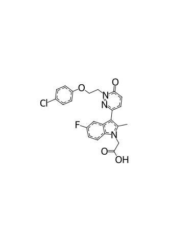 Cc1c(-c2ccc(=O)n(CCOc3ccc(Cl)cc3)n2)c2cc(F)ccc2n1CC(=O)O